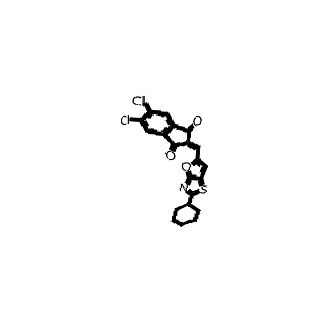 O=C1C(=Cc2cc3sc(C4CCCCC4)nc3o2)C(=O)c2cc(Cl)c(Cl)cc21